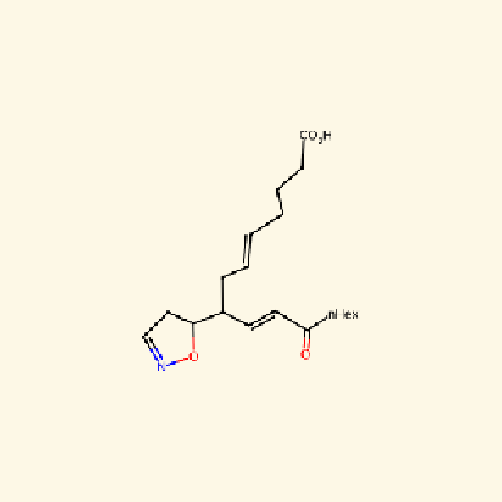 CCCCCCC(=O)C=CC(CC=CCCCC(=O)O)C1CC=NO1